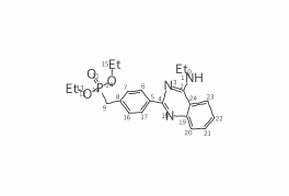 CCNc1nc(-c2ccc(CP(=O)(OCC)OCC)cc2)nc2ccccc12